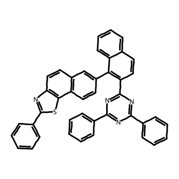 c1ccc(-c2nc(-c3ccccc3)nc(-c3ccc4ccccc4c3-c3ccc4c(ccc5nc(-c6ccccc6)sc54)c3)n2)cc1